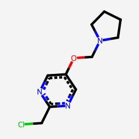 ClCc1ncc(OCN2CCCC2)cn1